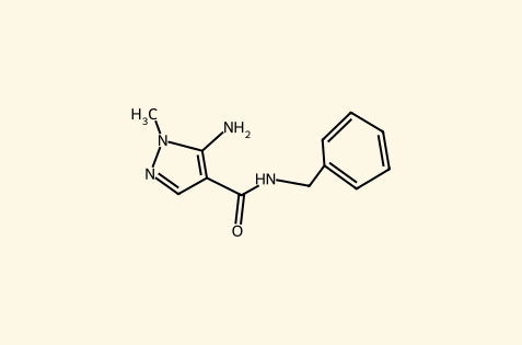 Cn1ncc(C(=O)NCc2ccccc2)c1N